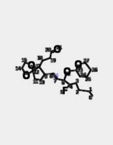 CCCCC(F)C(/C=C/C1CCC2(OCCO2)C1CCC=O)OC1CCCCO1